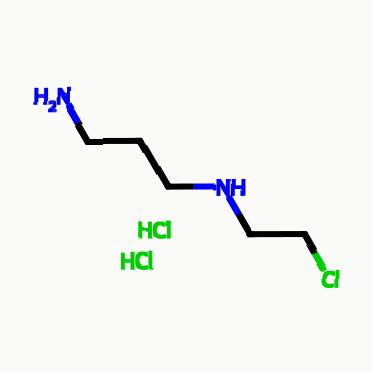 Cl.Cl.NCCCNCCCl